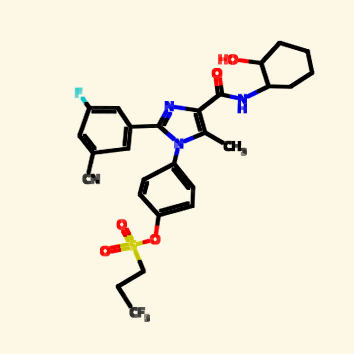 Cc1c(C(=O)NC2CCCCC2O)nc(-c2cc(F)cc(C#N)c2)n1-c1ccc(OS(=O)(=O)CCC(F)(F)F)cc1